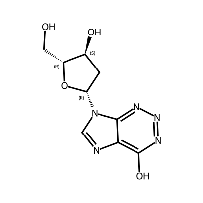 OC[C@H]1O[C@@H](n2cnc3c(O)nnnc32)C[C@@H]1O